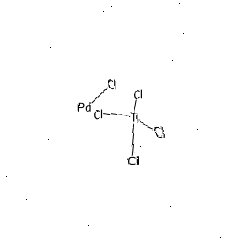 [Cl][Pd].[Cl][Ti]([Cl])([Cl])[Cl]